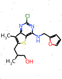 Cc1c(CC(C)CO)sc2c(NCc3ccco3)nc(Cl)nc12